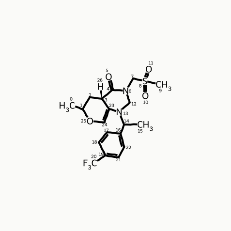 CC1C[C@@H]2C(=O)N(CS(C)(=O)=O)CN(C(C)c3ccc(C(F)(F)F)cc3)C2=CO1